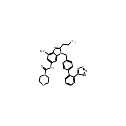 CCCc1nc2c(C)cc(NC(=O)N3CCOCC3)cc2n1Cc1ccc(-c2ccccc2-c2nnn[nH]2)cc1